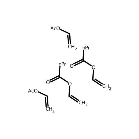 C=COC(=O)CCC.C=COC(=O)CCC.C=COC(C)=O.C=COC(C)=O